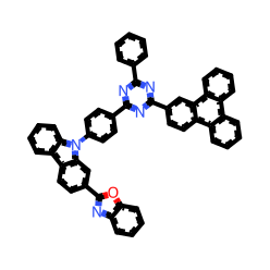 c1ccc(-c2nc(-c3ccc(-n4c5ccccc5c5ccc(-c6nc7ccccc7o6)cc54)cc3)nc(-c3ccc4c5ccccc5c5ccccc5c4c3)n2)cc1